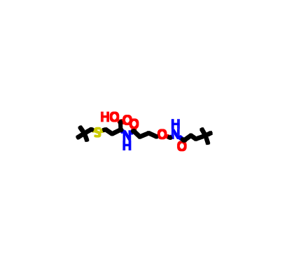 CC(C)(C)CCC(=O)NCOCCCC(=O)NC(CCSCC(C)(C)C)C(=O)O